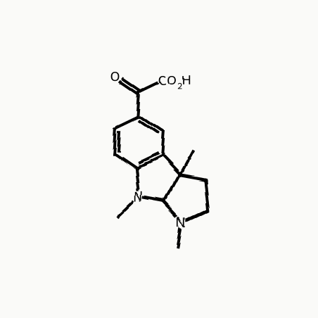 CN1CCC2(C)c3cc(C(=O)C(=O)O)ccc3N(C)C12